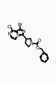 O=C(OCc1ccccc1)N1CCC(c2nc(Br)c3c(Cl)nccn23)C1